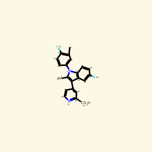 Cc1cc(-n2c(C(C)C)c(-c3ccnc(C(=O)O)c3)c3cc(F)ccc32)ccc1F